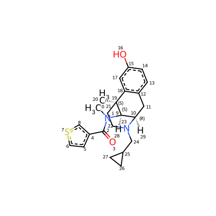 CN(C(=O)c1ccsc1)[C@@H]1[C@H]2Cc3ccc(O)cc3[C@]1(C)CCN2CC1CC1